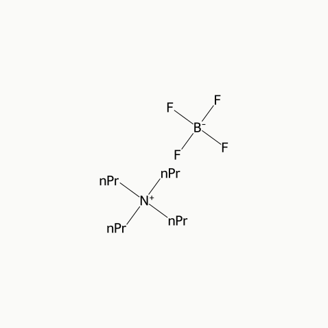 CCC[N+](CCC)(CCC)CCC.F[B-](F)(F)F